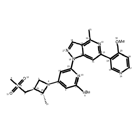 CCCCc1cc(N2C[C@H](CS(C)(=O)=O)[C@H]2C)cc(-n2ncc3c(C)nc(-c4cnccc4OC)cc32)n1